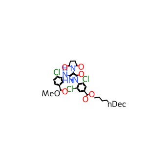 CCCCCCCCCCCCCCOC(=O)c1cc(Cl)c(-n2[nH]c(Nc3cc(C(=O)OC)ccc3Cl)c(N3C(=O)CCC3=O)c2=O)c(Cl)c1